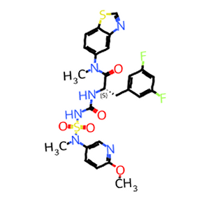 COc1ccc(N(C)S(=O)(=O)NC(=O)N[C@@H](Cc2cc(F)cc(F)c2)C(=O)N(C)c2ccc3scnc3c2)cn1